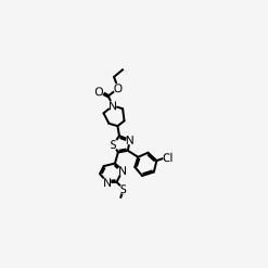 CCOC(=O)N1CCC(c2nc(-c3cccc(Cl)c3)c(-c3ccnc(SC)n3)s2)CC1